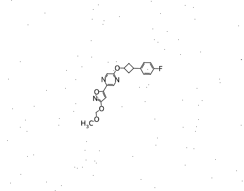 COCOc1cc(-c2cnc(OC3CC(c4ccc(F)cc4)C3)cn2)on1